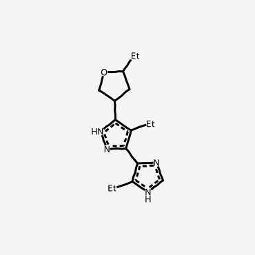 CCc1[nH]cnc1-c1n[nH]c(C2COC(CC)C2)c1CC